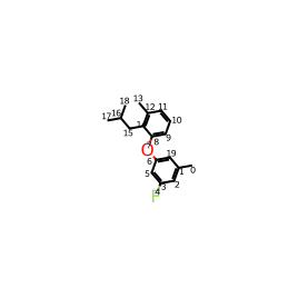 Cc1cc(F)cc(Oc2cccc(C)c2CC(C)C)c1